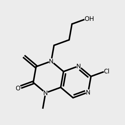 C=C1C(=O)N(C)c2cnc(Cl)nc2N1CCCO